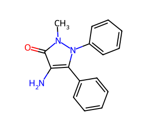 Cn1c(=O)c(N)c(-c2ccccc2)n1-c1ccccc1